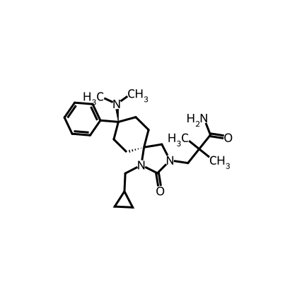 CN(C)[C@]1(c2ccccc2)CC[C@]2(CC1)CN(CC(C)(C)C(N)=O)C(=O)N2CC1CC1